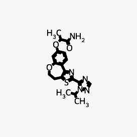 CC(Oc1ccc2c(c1)OCCc1sc(-c3ncnn3C(C)C)nc1-2)C(N)=O